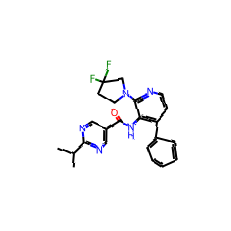 CC(C)c1ncc(C(=O)Nc2c(-c3ccccc3)ccnc2N2CCC(F)(F)C2)cn1